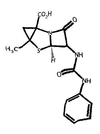 CC12CC1(C(=O)O)N1C(=O)C(NC(=O)Nc3ccccc3)[C@H]1S2